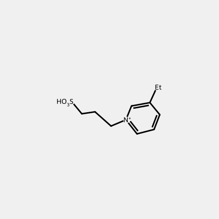 CCc1ccc[n+](CCCS(=O)(=O)O)c1